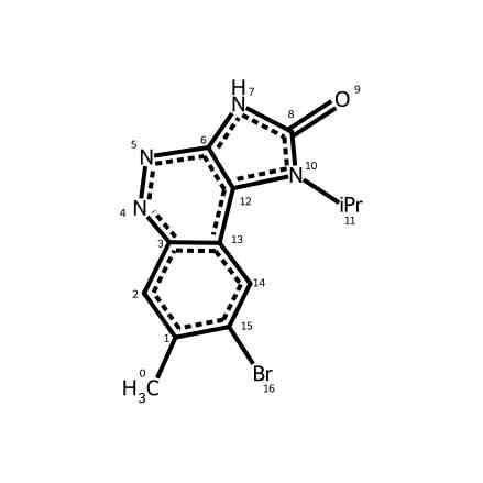 Cc1cc2nnc3[nH]c(=O)n(C(C)C)c3c2cc1Br